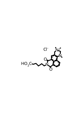 CN1C[N+](C)(C)Cc2cc3c4c(cccc4c21)C(=O)N(CCCCCC(=O)O)C3=O.[Cl-]